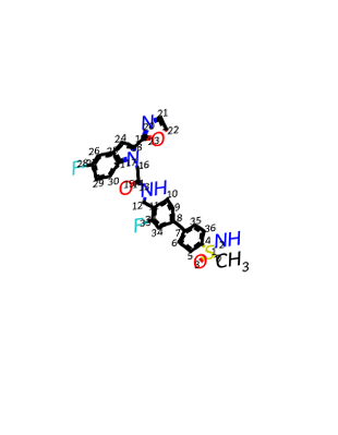 CS(=N)(=O)c1ccc(-c2ccc(CNC(=O)Cn3c(-c4ncco4)cc4cc(F)ccc43)c(F)c2)cc1